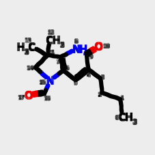 CCCCc1cc2c([nH]c1=O)C(C)(C)CN2C=O